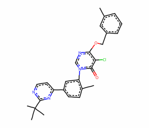 Cc1cccc(COc2ncn(-c3cc(-c4ccnc(C(C)(C)C)n4)ccc3C)c(=O)c2Cl)c1